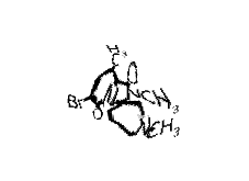 Cc1cc(Br)c(=O)n2c1C(=O)N(C)C21CCCN(C)C1